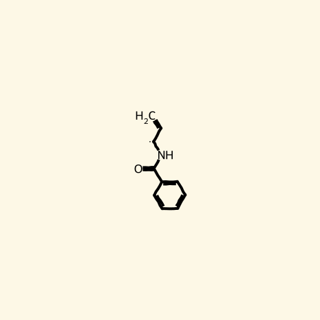 C=C[CH]NC(=O)c1ccccc1